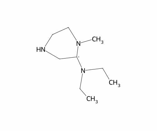 CCN(CC)[C]1CNCCN1C